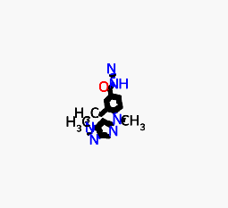 CCc1cc(C(=O)NC#N)ccc1N(C)c1cc2c(cn1)ncn2C